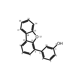 Oc1cccc(-c2cccc3c2oc2ccccc23)c1